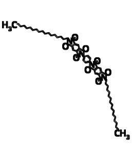 CCCCCCCCCCCCCCCCCCn1c(=O)c2cc3c(=O)n(-c4ccc(-n5c(=O)c6cc7c(=O)n(CCCCCCCCCCCCCCCCCC)c(=O)c7cc6c5=O)cc4)c(=O)c3cc2c1=O